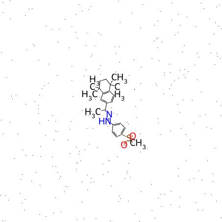 CC(=NNc1ccc(S(C)(=O)=O)cc1)c1ccc2c(c1)C(C)(C)CCC2(C)C